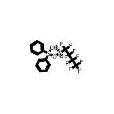 CS(OS(=O)(=O)C(F)(F)C(F)(F)C(F)(F)C(F)(F)F)(c1ccccc1)c1ccccc1